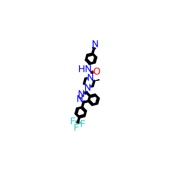 C[C@H]1CN(c2nnc(-c3ccc(C(F)(F)F)cc3)c3ccccc23)CCN1C(=O)Nc1ccc(C#N)cc1